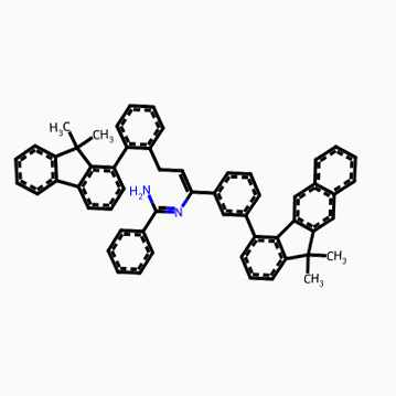 CC1(C)c2cc3ccccc3cc2-c2c(-c3cccc(C(=C/Cc4ccccc4-c4cccc5c4C(C)(C)c4ccccc4-5)/N=C(\N)c4ccccc4)c3)cccc21